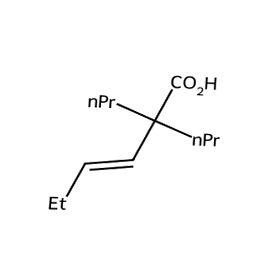 CCC=CC(CCC)(CCC)C(=O)O